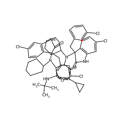 CC(C)(C)NC(=O)C(C(C(=O)NC1CC1)N(C1CCCCC1)C1(Cc2cccc(Cl)c2)C(=O)Nc2cc(Cl)ccc21)N(C1CCCCC1)C1(Cc2cccc(Cl)c2)C(=O)Nc2cc(Cl)ccc21